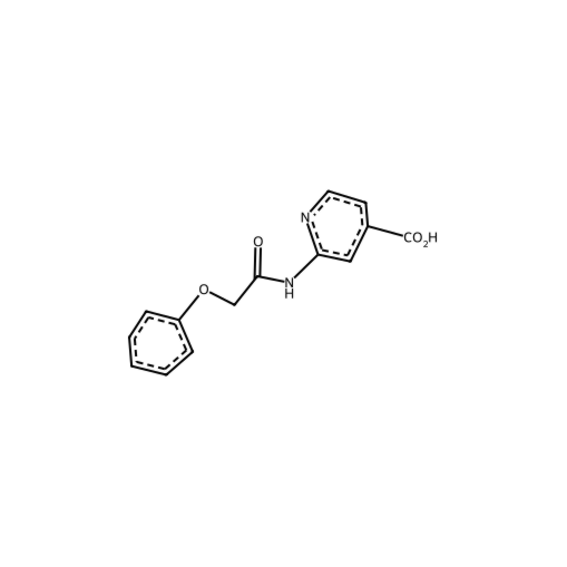 O=C(COc1ccccc1)Nc1cc(C(=O)O)ccn1